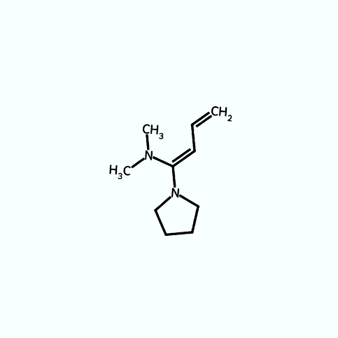 C=C/C=C(\N(C)C)N1CCCC1